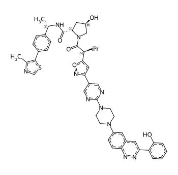 Cc1ncsc1-c1ccc([C@H](C)NC(=O)[C@@H]2C[C@@H](O)CN2C(=O)[C@H](c2cc(-c3cnc(N4CCN(c5ccc6nnc(-c7ccccc7O)cc6c5)CC4)nc3)no2)C(C)C)cc1